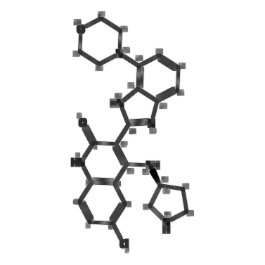 O=c1[nH]c2ccc(Cl)cc2c(N[C@H]2CCNC2)c1-c1nc2cccc(N3CCOCC3)c2[nH]1